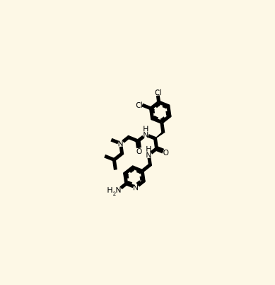 CC(C)CN(C)CC(=O)N[C@@H](Cc1ccc(Cl)c(Cl)c1)C(=O)NCc1ccc(N)nc1